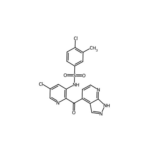 Cc1cc(S(=O)(=O)Nc2cc(Cl)cnc2C(=O)c2ccnc3[nH]ncc23)ccc1Cl